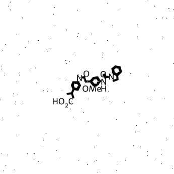 COc1cc(CC(=O)N(C)c2ccc(C(C)CC(=O)O)cc2)ccc1NC(=O)N1CCc2ccccc21